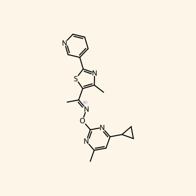 C/C(=N\Oc1nc(C)cc(C2CC2)n1)c1sc(-c2cccnc2)nc1C